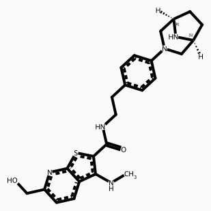 CNc1c(C(=O)NCCc2ccc(N3C[C@H]4CC[C@@H](C3)N4)cc2)sc2nc(CO)ccc12